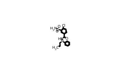 C=CCN(NC(=O)c1ccc(Cl)c(S(N)(=O)=O)c1)c1ccccc1